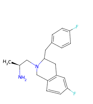 C[C@H](N)CN1Cc2ccc(F)cc2CC1Cc1ccc(F)cc1